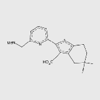 CNCc1cccc(-c2sc3c(c2C(=O)O)CC(C)(C)CC3)n1